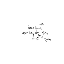 CO[C@@H](C)c1nnc([C@H](C)OC)n1N=CC(C)C